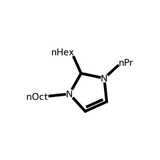 CCCCCCCCN1C=CN(CCC)C1CCCCCC